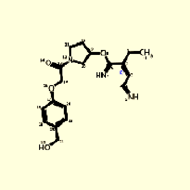 CC/C(=C/C=N)C(=N)OC1CCN(C(=O)COc2ccc(CO)cc2)C1